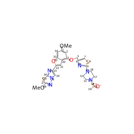 COc1cc(OCc2csc(N3CCN([S+](C)[O-])CC3)n2)c2cc(-c3cn4nc(OC)sc4n3)oc2c1